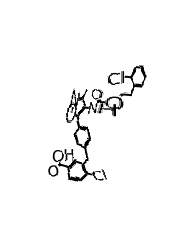 Cc1noc(-c2ccc(Cc3cc(C(=O)O)ccc3Cl)cc2)c1NC(=O)OCCc1ccccc1Cl